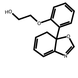 OCCOc1ccccc1C12CC=CC=C1N=CO2